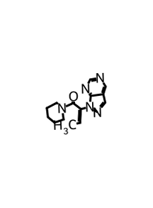 CC=C(C(=O)N1CCCCC1)n1ncc2cncnc21